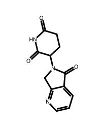 O=C1CCC(N2Cc3ncccc3C2=O)C(=O)N1